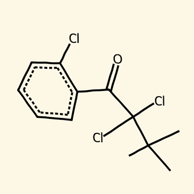 CC(C)(C)C(Cl)(Cl)C(=O)c1ccccc1Cl